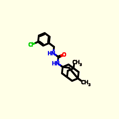 CC12CC3CC(C)(C1)CC(NC(=O)NCc1cccc(Cl)c1)(C3)C2